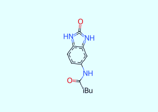 CCC(C)C(=O)Nc1ccc2[nH]c(=O)[nH]c2c1